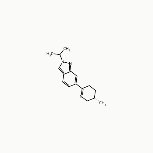 CC(C)n1cc2ccc(C3=NC[C@@H](C)CC3)cc2n1